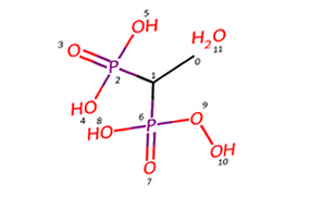 CC(P(=O)(O)O)P(=O)(O)OO.O